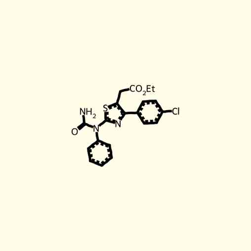 CCOC(=O)Cc1sc(N(C(N)=O)c2ccccc2)nc1-c1ccc(Cl)cc1